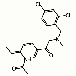 C=C(/C=C\C(=C/C)NC(C)=O)C(=O)CN(C)Cc1ccc(Cl)cc1Cl